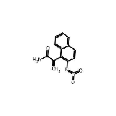 C=C(C(N)=O)c1c(N=S(=O)=O)ccc2ccccc12